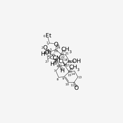 CCC1O[C@@H]2C[C@H]3[C@@H]4CCC5=CC(=O)CC[C@]5(C)[C@@]4(Cl)[C@@H](O)C[C@]3(C)[C@]2(C2(C#N)CO2)O1